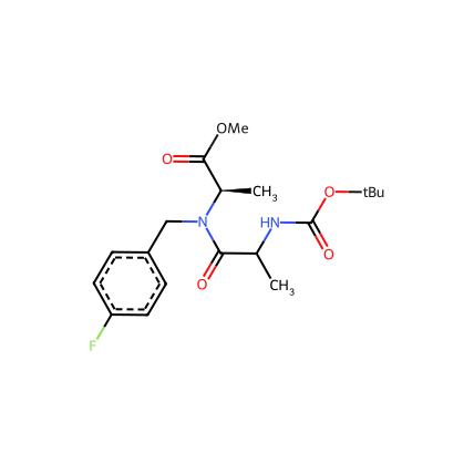 COC(=O)[C@@H](C)N(Cc1ccc(F)cc1)C(=O)C(C)NC(=O)OC(C)(C)C